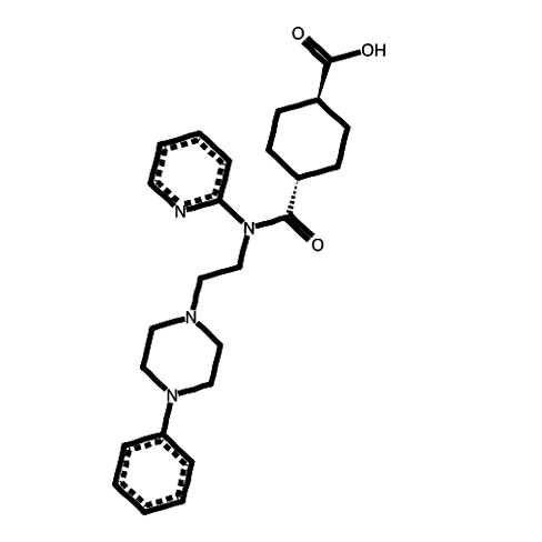 O=C(O)[C@H]1CC[C@H](C(=O)N(CCN2CCN(c3ccccc3)CC2)c2ccccn2)CC1